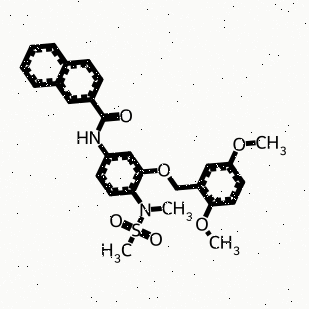 COc1ccc(OC)c(COc2cc(NC(=O)c3ccc4ccccc4c3)ccc2N(C)S(C)(=O)=O)c1